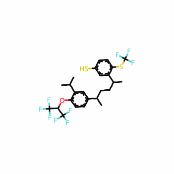 CC(C)c1cc(C(C)CCC(C)c2cc(S)ccc2SC(F)(F)F)ccc1OC(C(F)(F)F)C(F)(F)F